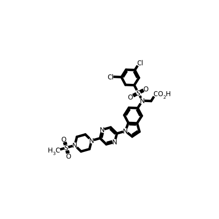 CS(=O)(=O)N1CCN(c2cnc(-n3ccc4cc(N(CC(=O)O)S(=O)(=O)C5C=C(Cl)C=C(Cl)C5)ccc43)cn2)CC1